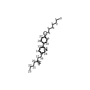 CCCCCCCOc1ccc(-c2ccc(CCC(F)CCCC)cn2)cc1